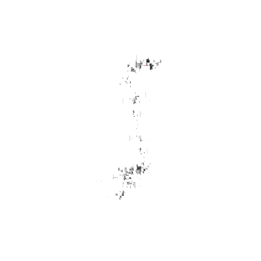 Cc1ccccc1NC(=O)Nc1ccc(CC(=O)N[C@@H](CCCNC(N)=O)C(=O)N[C@@H](CCC(=O)O)C(=O)N[C@@H](CO)C(=O)N[C@H](C(=O)NCCOCCOCCNC(=O)CCC(=O)NCCOCCOCCNC(=O)CCC(=O)N[C@@H](CCCCNC(=O)[C@H](N)CSC2CC(=O)N(CC(=O)NCCCC(O)(P(=O)(O)O)P(=O)(O)O)C2=O)C(N)=O)C(C)C)cc1